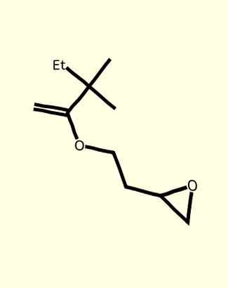 C=C(OCCC1CO1)C(C)(C)CC